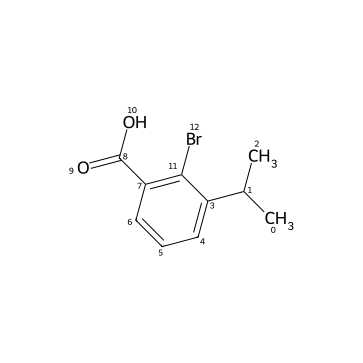 CC(C)c1cccc(C(=O)O)c1Br